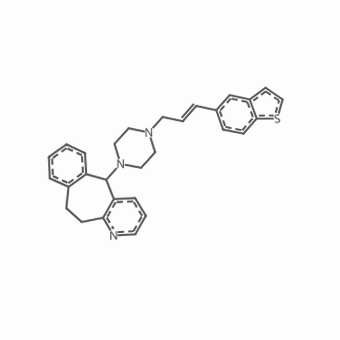 C(=Cc1ccc2sccc2c1)CN1CCN(C2c3ccccc3CCc3ncccc32)CC1